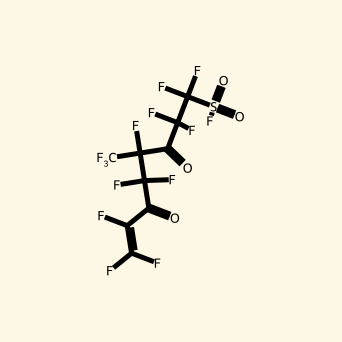 O=C(C(F)=C(F)F)C(F)(F)C(F)(C(=O)C(F)(F)C(F)(F)S(=O)(=O)F)C(F)(F)F